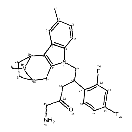 Cc1ccc2c(c1)c1c(n2CC(CC(=O)CN)c2ccc(F)cc2F)CC2CCC1N2C